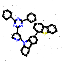 c1ccc(-c2nc(-c3ccccc3)nc(-c3ccnc(-n4c5ccccc5c5ccc(-c6cccc7c6sc6ccccc67)cc54)c3)n2)cc1